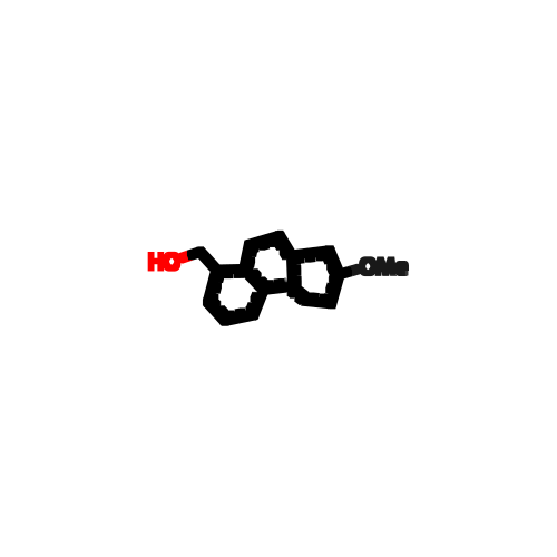 COc1ccc2c(ccc3c(CO)cccc32)c1